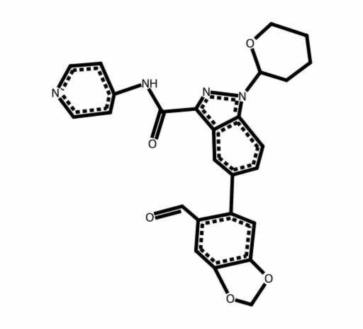 O=Cc1cc2c(cc1-c1ccc3c(c1)c(C(=O)Nc1ccncc1)nn3C1CCCCO1)OCO2